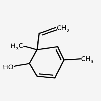 C=CC1(C)C=C(C)C=CC1O